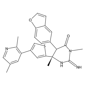 Cc1cnc(C)c(-c2csc([C@@]3(C)NC(=N)N(C)C(=O)C3c3ccc4occc4c3)c2)c1